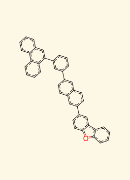 c1cc(-c2ccc3cc(-c4ccc5oc6ccccc6c5c4)ccc3c2)cc(-c2cc3ccccc3c3ccccc23)c1